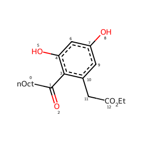 CCCCCCCCC(=O)c1c(O)cc(O)cc1CC(=O)OCC